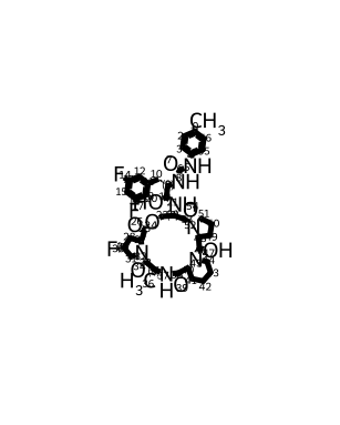 Cc1ccc(NC(=O)N[C@@H](Cc2cc(F)cc(F)c2)C(O)N[C@H]2COC(=O)C3C[C@@H](F)CN3C(=O)[C@H](C)NC(=O)C3CCCCN3C(O)C3CCCN3C2=O)cc1